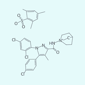 Cc1c(C(=O)N[N+]23CCC(CC2)CC3)nn(-c2ccc(Cl)cc2Cl)c1-c1ccc(Cl)cc1.Cc1cc(C)c(S(=O)(=O)[O-])c(C)c1